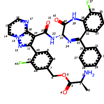 C[C@H](N)C(=O)OCc1ccc(-c2nn3cccnc3c2C(=O)N[C@H]2N=C(c3ccccc3)c3cccc(F)c3NC2=O)c(F)c1